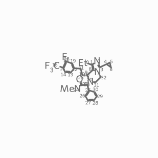 CCc1nc(C2CC2)n2c1[C@H](CCc1ccc(C(F)(F)F)c(F)c1)N([C@@H](C(=O)NC)c1ccccc1)CC2